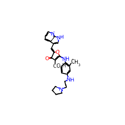 Cc1cc(NCCN2CCCC2)ccc1NC1=C(C(=O)O)C(=O)C(=Cc2c[nH]c3ncccc23)O1